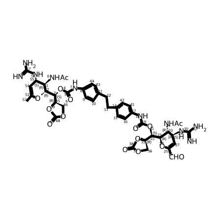 CC(=O)N[C@H]1[C@H]([C@H](OC(=O)Nc2ccc(CCc3ccc(NC(=O)O[C@@H]([C@@H]4OC(C=O)=C[C@H](NC(=N)N)[C@H]4NC(C)=O)[C@H]4COC(=O)O4)cc3)cc2)[C@H]2COC(=O)O2)OC(C)=C[C@@H]1NC(=N)N